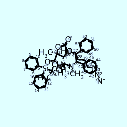 CC[C@@H](O[Si](c1ccccc1)(c1ccccc1)C(C)(C)C)[C@@]1(C)OC(=O)N(CCCCN=[N+]=[N-])[C@@H]1C(=O)N(C)[C@H](c1ccccc1)[C@H](O)c1ccccc1